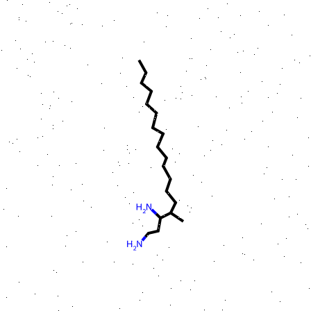 CCCCCCCCCCCCCCC(C)C(N)CCN